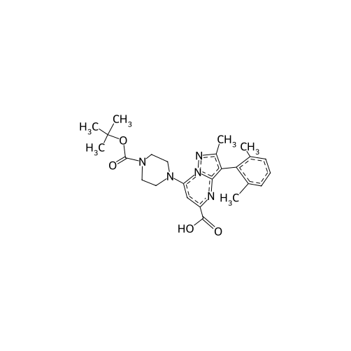 Cc1cccc(C)c1-c1c(C)nn2c(N3CCN(C(=O)OC(C)(C)C)CC3)cc(C(=O)O)nc12